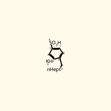 CCCCCCCCc1ccc(S(=O)(=O)O)cc1.[KH]